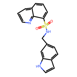 O=S(=O)(NCc1ccc2cc[nH]c2c1)c1cccc2cccnc12